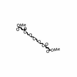 COC(=O)/C=C/C(=O)OCCOCCOCCOCCOC(=O)/C=C/C(=O)OC